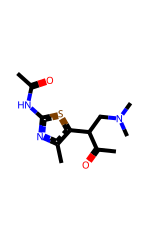 CC(=O)Nc1nc(C)c(C(CN(C)C)C(C)=O)s1